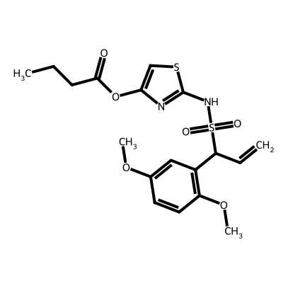 C=CC(c1cc(OC)ccc1OC)S(=O)(=O)Nc1nc(OC(=O)CCC)cs1